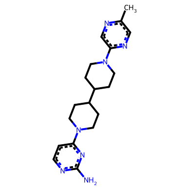 Cc1cnc(N2CCC(C3CCN(c4ccnc(N)n4)CC3)CC2)cn1